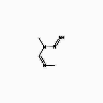 C/N=C\N(C)N=N